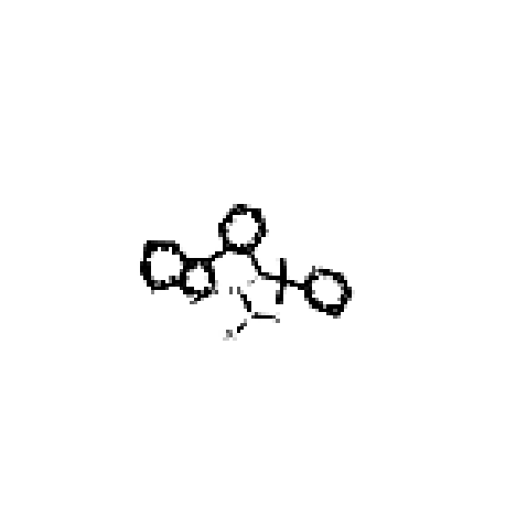 CC(C)(c1ccccn1)[C@H](N[S@@+]([O-])C(C)(C)C)c1ccccc1-c1noc2ccccc12